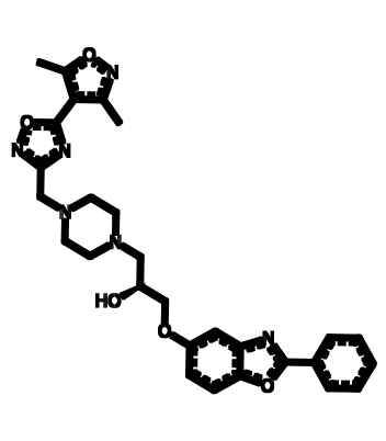 Cc1noc(C)c1-c1nc(CN2CCN(C[C@H](O)COc3ccc4oc(-c5ccccc5)nc4c3)CC2)no1